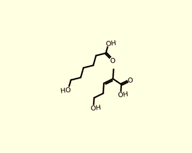 CC(=CCCO)C(=O)O.O=C(O)CCCCCO